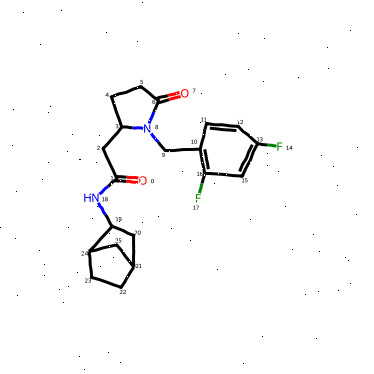 O=C(CC1CCC(=O)N1Cc1ccc(F)cc1F)NC1CC2CCC1C2